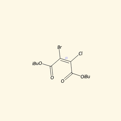 CC(C)COC(=O)/C(Cl)=C(/Br)C(=O)OCC(C)C